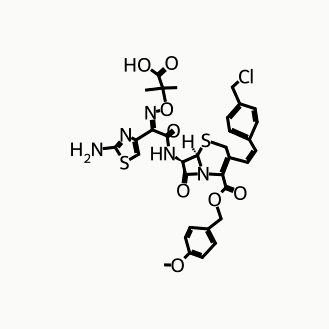 COc1ccc(COC(=O)C2=C(/C=C\c3ccc(CCl)cc3)CS[C@@H]3[C@H](NC(=O)/C(=N\OC(C)(C)C(=O)O)c4csc(N)n4)C(=O)N23)cc1